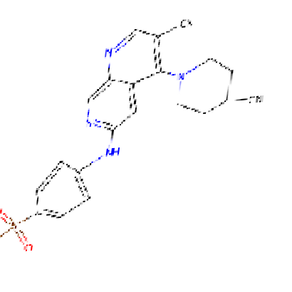 CS(=O)(=O)c1ccc(Nc2cc3c(N4CCC(C#N)CC4)c(C#N)cnc3cn2)cc1